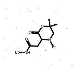 CCNC(=O)CC1C(=O)OC(C)(C)CN1CC